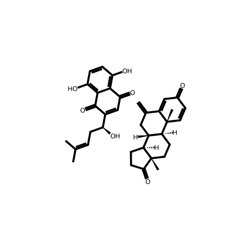 C=C1C[C@@H]2[C@H](CC[C@]3(C)C(=O)CC[C@@H]23)[C@@]2(C)C=CC(=O)C=C12.CC(C)=CC[C@H](O)C1=CC(=O)c2c(O)ccc(O)c2C1=O